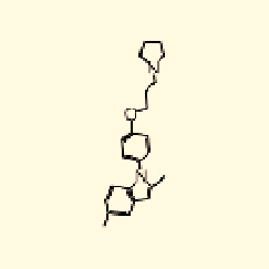 Cc1ccc2c(c1)cc(C)n2-c1ccc(OCCCN2CCCC2)cc1